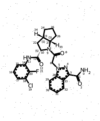 NC(=O)c1nn(CC(=O)N2[C@H](C(=O)Nc3cccc(Cl)c3F)C[C@@H]3CCC[C@@H]32)c2ccccc12